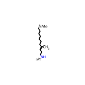 CCCNCC/C=C(\C)CCCCCCCNC